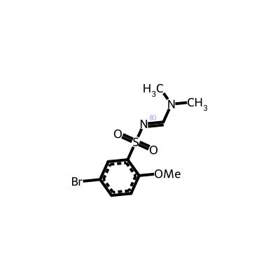 COc1ccc(Br)cc1S(=O)(=O)/N=C/N(C)C